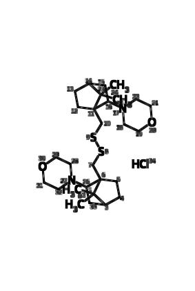 CC1(C)C2CCC1(CSSCC13CCC(CC1N1CCOCC1)C3(C)C)C(N1CCOCC1)C2.Cl